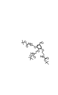 CC(C)(C)OC(=O)NCCOc1cc(C=O)cc(OCCNC(=O)OC(C)(C)C)c1OCCNC(=O)OC(C)(C)C